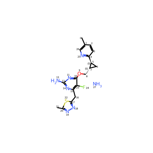 Cc1ccc([C@H]2C[C@@H]2COc2nc(N)nc(Cc3nnc(C)s3)c2F)nc1.N